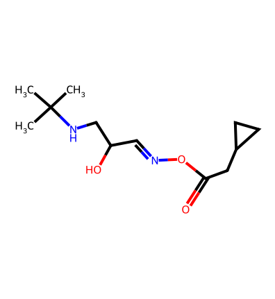 CC(C)(C)NCC(O)C=NOC(=O)CC1CC1